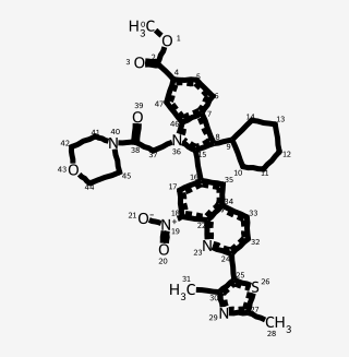 COC(=O)c1ccc2c(C3CCCCC3)c(-c3cc([N+](=O)[O-])c4nc(-c5sc(C)nc5C)ccc4c3)n(CC(=O)N3CCOCC3)c2c1